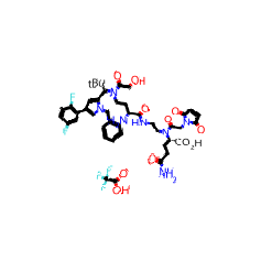 CC(C)(C)[C@H](c1cc(-c2cc(F)ccc2F)cn1Cc1ccccc1)N(CC[C@H](N)C(=O)NCCN(C(=O)CN1C(=O)C=CC1=O)[C@@H](CCC(N)=O)C(=O)O)C(=O)CO.O=C(O)C(F)(F)F